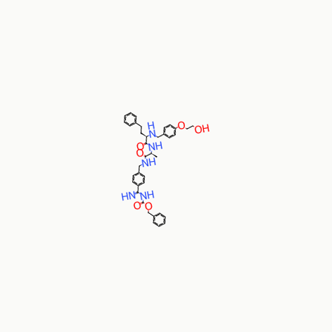 C[C@H](NC(=O)[C@@H](CCc1ccccc1)NCc1ccc(OCCO)cc1)C(=O)NCc1ccc(C(=N)NC(=O)OCc2ccccc2)cc1